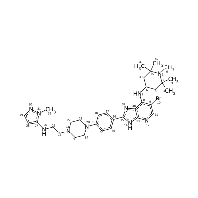 CN1C(C)(C)CC(Nc2c(Br)cnc3[nH]c(-c4ccc(N5CCN(CCNc6ccnn6C)CC5)cc4)nc23)CC1(C)C